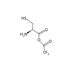 N[C@@H](CS)C(=O)OC(=O)C(F)(F)F